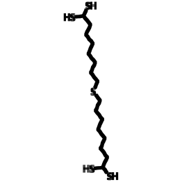 SC(S)CCCCCCCSCCCCCCCC(S)S